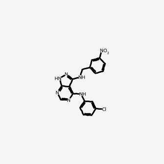 O=[N+]([O-])c1cccc(CNc2n[nH]c3ncnc(Nc4cccc(Cl)c4)c23)c1